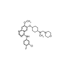 COc1cc2ncnc(Nc3ccc(F)c(Cl)c3)c2cc1OC1CCC(N(C)CN2CCOCC2)CC1